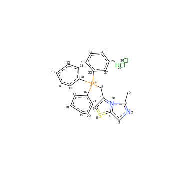 Cc1ncc2scc(C[P+](c3ccccc3)(c3ccccc3)c3ccccc3)n12.Cl.[Cl-]